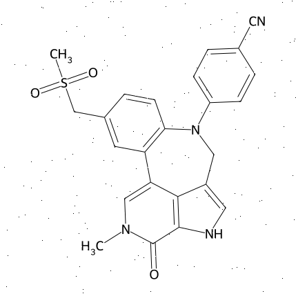 Cn1cc2c3c(c[nH]c3c1=O)CN(c1ccc(C#N)cc1)c1ccc(CS(C)(=O)=O)cc1-2